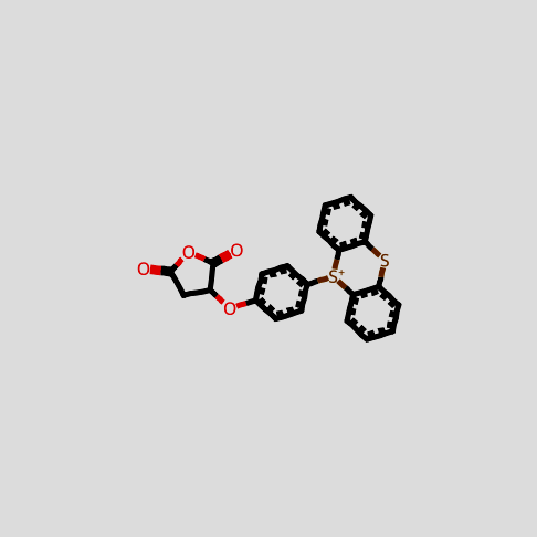 O=C1CC(Oc2ccc([S+]3c4ccccc4Sc4ccccc43)cc2)C(=O)O1